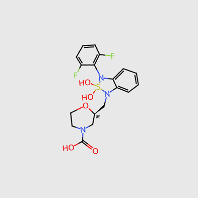 O=C(O)N1CCO[C@@H](CN2c3ccccc3N(c3c(F)cccc3F)S2(O)O)C1